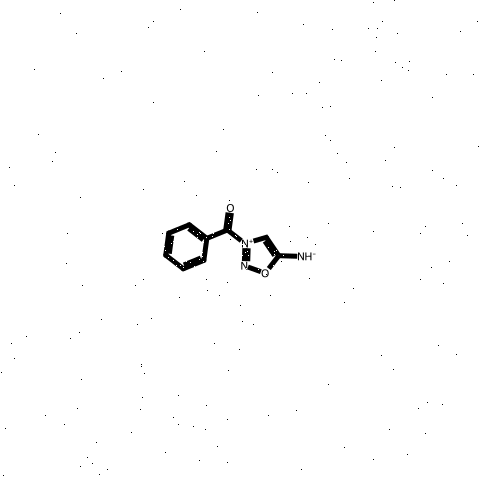 [NH-]c1c[n+](C(=O)c2ccccc2)no1